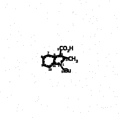 CCC(C)n1c(C)c(C(=O)O)c2ccccc21